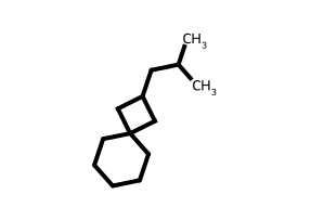 CC(C)CC1CC2(CCCCC2)C1